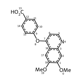 COc1cc2nccc(Oc3ccc(C(=O)O)cc3)c2cc1OC